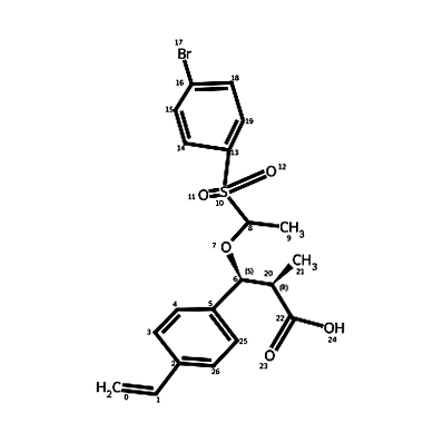 C=Cc1ccc([C@@H](OC(C)S(=O)(=O)c2ccc(Br)cc2)[C@@H](C)C(=O)O)cc1